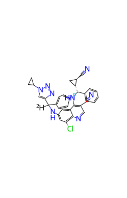 [2H]C(Nc1cc(Cl)c2ncc(C#N)c(NC(c3ccccc3)[C@@H]3C[C@H]3C#N)c2c1)(c1ccc(F)cc1)c1cn(C2CC2)nn1